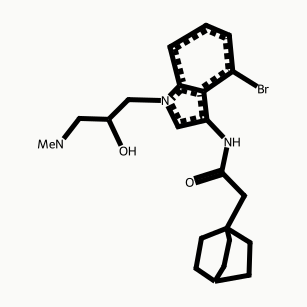 CNCC(O)Cn1cc(NC(=O)CC23CCC(CC2)CC3)c2c(Br)cccc21